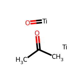 CC(C)=O.[O]=[Ti].[Ti]